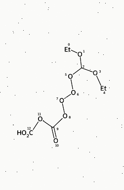 CCOC(OCC)OOOOC(=O)OC(=O)O